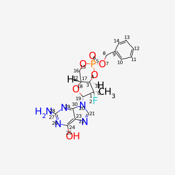 C[C@@]1(F)[C@@H]2O[P@@](=O)(OCc3ccccc3)OC[C@H]2O[C@H]1n1cnc2c(O)nc(N)nc21